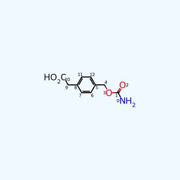 NC(=O)OCc1ccc(CC(=O)O)cc1